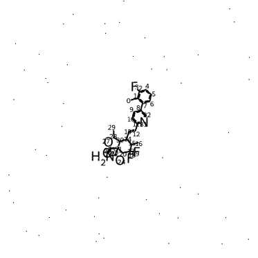 Cc1c(F)cccc1-c1ccc(/C=C/C2C(C)C(F)(F)CC3(C(N)=O)C(=O)OC(C)C23)nc1